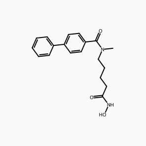 CN(CCCCC(=O)NO)C(=O)c1ccc(-c2ccccc2)cc1